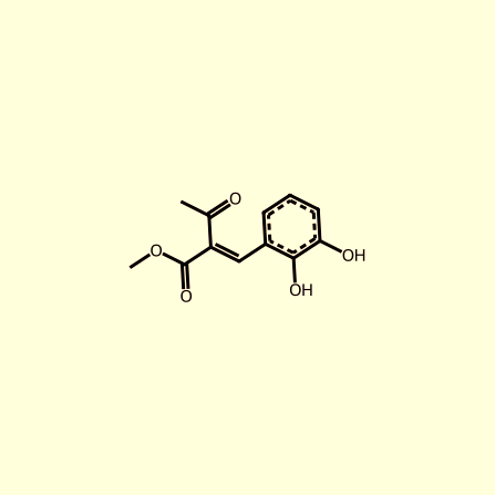 COC(=O)/C(=C/c1cccc(O)c1O)C(C)=O